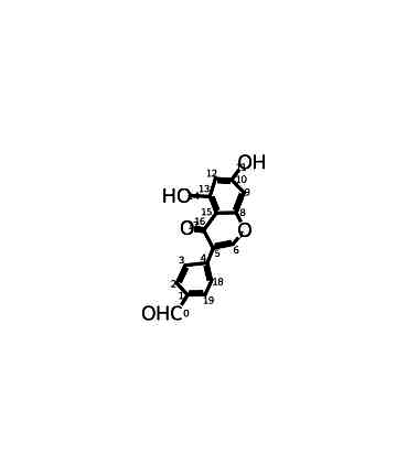 O=Cc1ccc(-c2coc3cc(O)cc(O)c3c2=O)cc1